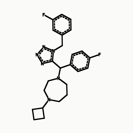 Fc1ccc(C(c2nnnn2Cc2cccc(F)c2)N2CCCN(C3CCC3)CC2)cc1